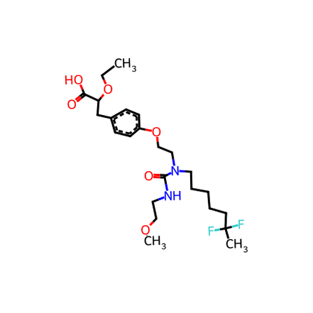 CCOC(Cc1ccc(OCCN(CCCCCC(C)(F)F)C(=O)NCCOC)cc1)C(=O)O